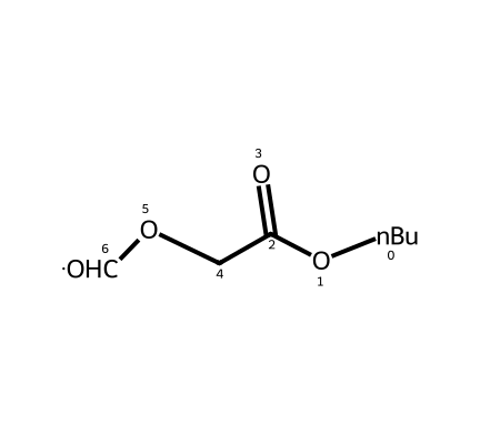 CCCCOC(=O)CO[C]=O